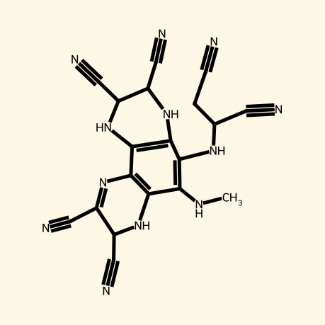 CNc1c2c(c3c(c1NC(C#N)CC#N)NC(C#N)C(C#N)N3)N=C(C#N)C(C#N)N2